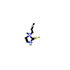 CCCC[N+]1(C)C=CNC1=S